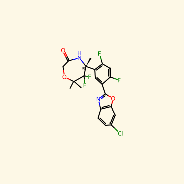 CC1(C)OCC(=O)N[C@](C)(c2cc(-c3nc4ccc(Cl)cc4o3)c(F)cc2F)C1(F)F